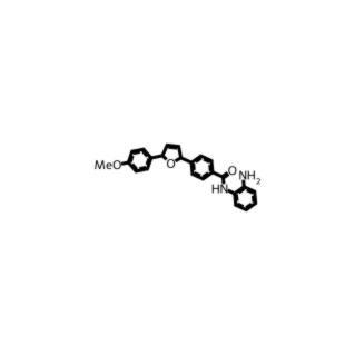 COc1ccc(C2C=CC(c3ccc(C(=O)Nc4ccccc4N)cc3)O2)cc1